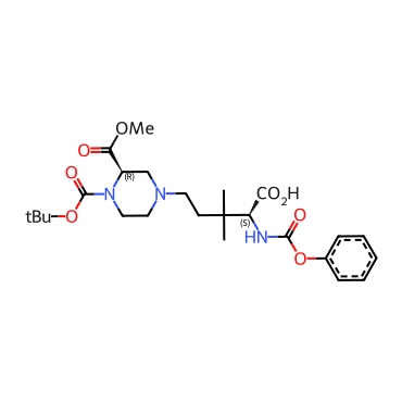 COC(=O)[C@H]1CN(CCC(C)(C)[C@H](NC(=O)Oc2ccccc2)C(=O)O)CCN1C(=O)OC(C)(C)C